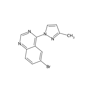 Cc1ccn(-c2ncnc3ccc(Br)cc23)n1